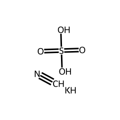 C#N.O=S(=O)(O)O.[KH]